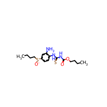 CCCCOC(=O)NC(=S)Nc1ccc([S+]([O-])CCCC)cc1N